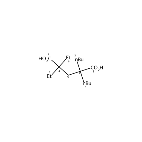 CCCCC(CCCC)(CC(CC)(CC)C(=O)O)C(=O)O